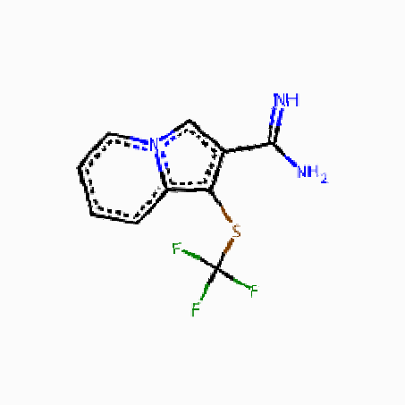 N=C(N)c1cn2ccccc2c1SC(F)(F)F